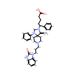 C=C1N(C(CCCC(=O)O)c2ccccc2)CN(c2ccccc2)C12CCN(CCCn1c(=O)[nH]c3ccccc31)CC2